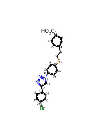 O=C(O)c1ccc(CCSc2ccc(-n3cc(-c4ccc(Br)cc4)nn3)cc2)cc1